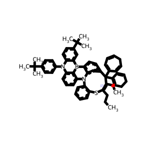 CCC/C1=C(\CC)C(C2=CC=CCC=C2)(C2=CCCC=C2)c2ccc3c(c2)N(c2ccccc2S1)c1cccc2c1B3c1cc(C(C)(C)C)ccc1N2c1ccc(C(C)(C)C)cc1